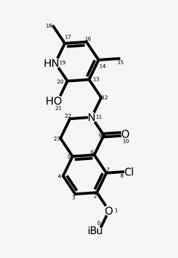 CCC(C)Oc1ccc2c(c1Cl)C(=O)N(CC1=C(C)C=C(C)NC1O)CC2